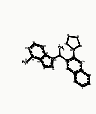 CC(c1cc2ccccc2nc1N1CCCC1)n1ncc2c(N)ncnc21